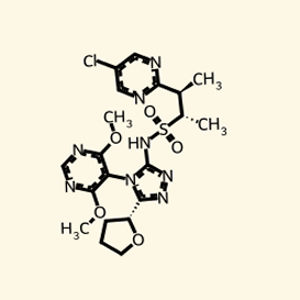 COc1ncnc(OC)c1-n1c(NS(=O)(=O)[C@@H](C)[C@H](C)c2ncc(Cl)cn2)nnc1[C@H]1CCCO1